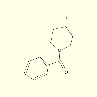 C[C]1CCN(C(=O)c2ccccc2)CC1